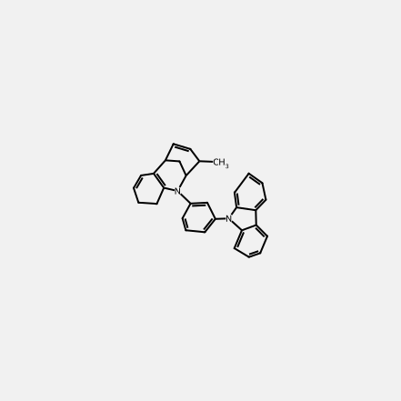 CC1C=CC2CC1N(c1cccc(-n3c4ccccc4c4ccccc43)c1)C1=C2C=CCC1